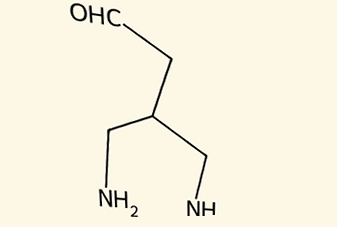 NCC(CN)CC=O